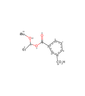 C[CH]C(OC(=O)c1cccc(C(=O)O)c1)OC(C)CC